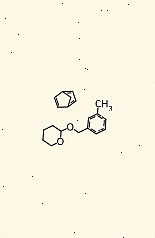 C1=CC2=CC=C1C2.Cc1cccc(COC2CCCCO2)c1